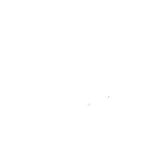 CCOC(=O)CSc1ccc(OC)c(OC)c1